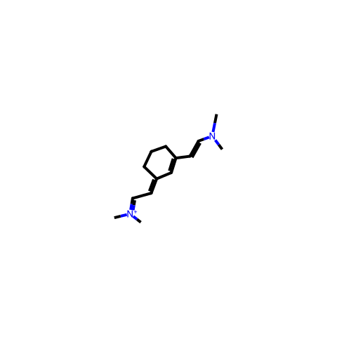 CN(C)/C=C/C1=CC(=C/C=[N+](C)C)/CCC1